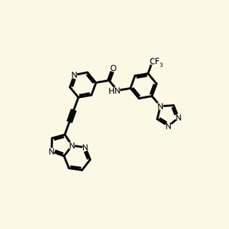 O=C(Nc1cc(-n2cnnc2)cc(C(F)(F)F)c1)c1cncc(C#Cc2cnc3cccnn23)c1